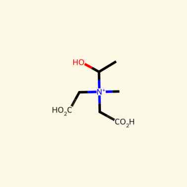 CC(O)[N+](C)(CC(=O)O)CC(=O)O